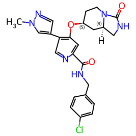 Cn1cc(-c2cnc(C(=O)NCc3ccc(Cl)cc3)cc2O[C@H]2CCN3C(=O)NC[C@H]3C2)cn1